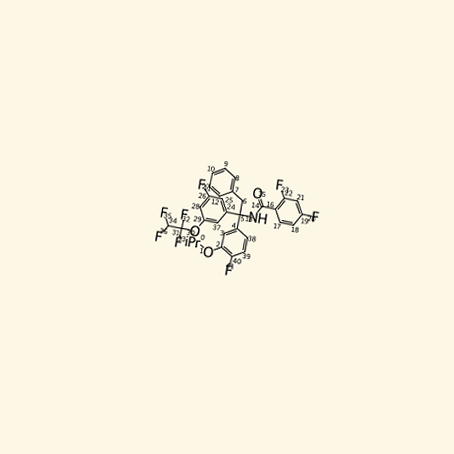 CC(C)Oc1cc(C(Cc2ccccc2)(NC(=O)c2ccc(F)cc2F)c2cc(F)cc(OC(F)(F)C(F)F)c2)ccc1F